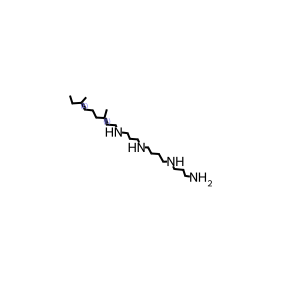 CC/C(C)=C/CC/C(C)=C/CNCCCNCCCCNCCCN